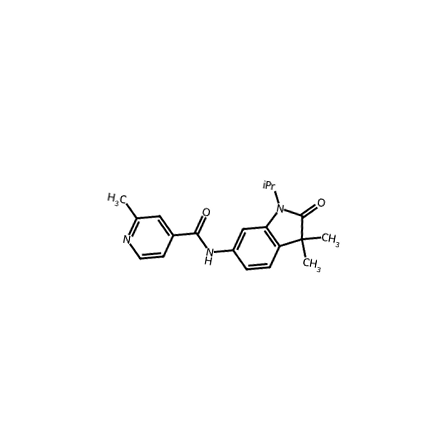 Cc1cc(C(=O)Nc2ccc3c(c2)N(C(C)C)C(=O)C3(C)C)ccn1